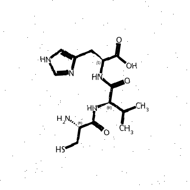 CC(C)[C@@H](NC(=O)[C@@H](N)CS)C(=O)N[C@@H](Cc1c[nH]cn1)C(=O)O